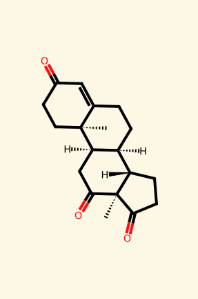 C[C@@]12C(=O)CC[C@H]1[C@@H]1CCC3=CC(=O)CC[C@]3(C)[C@@H]1CC2=O